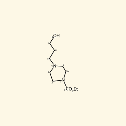 CCOC(=O)N1CCN(CCCO)CC1